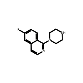 Fc1ccc2c(N3CCNCC3)nccc2c1